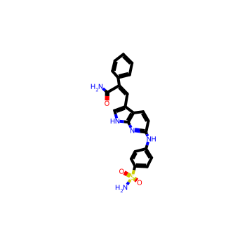 NC(=O)C(=Cc1c[nH]c2nc(Nc3ccc(S(N)(=O)=O)cc3)ccc12)c1ccccc1